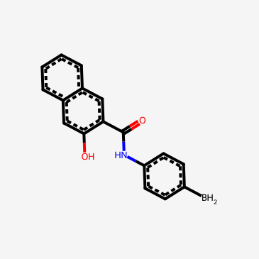 Bc1ccc(NC(=O)c2cc3ccccc3cc2O)cc1